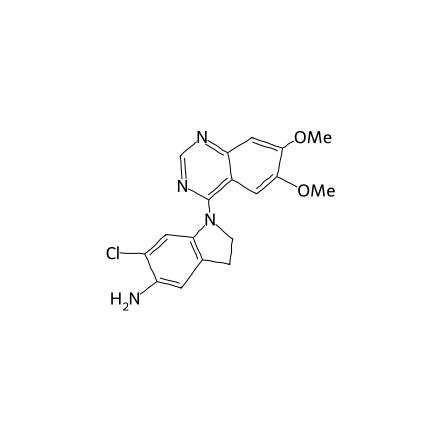 COc1cc2ncnc(N3CCc4cc(N)c(Cl)cc43)c2cc1OC